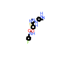 O=C(NCc1ccc(F)cc1)OC1CCc2c(sc3ncnc(Nc4ccc5[nH]ncc5c4)c23)C1